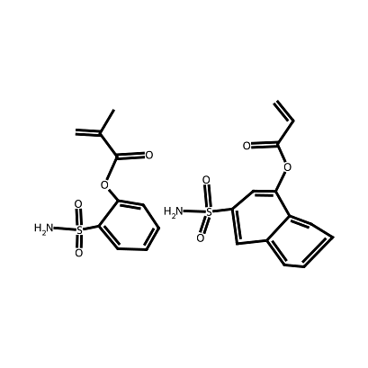 C=C(C)C(=O)Oc1ccccc1S(N)(=O)=O.C=CC(=O)Oc1cc(S(N)(=O)=O)cc2ccccc12